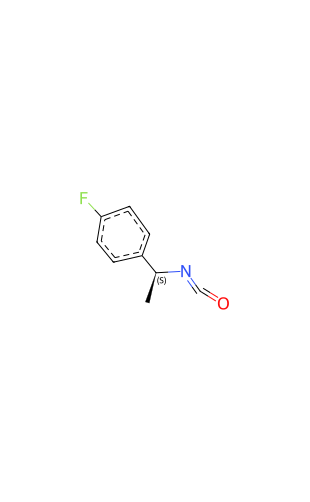 C[C@H](N=C=O)c1ccc(F)cc1